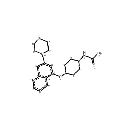 O=C(O)N[C@H]1CC[C@@H](Oc2cc(N3CCOCC3)cc3ncncc23)CC1